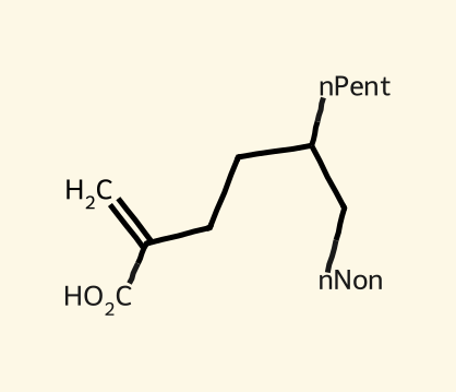 C=C(CCC(CCCCC)CCCCCCCCCC)C(=O)O